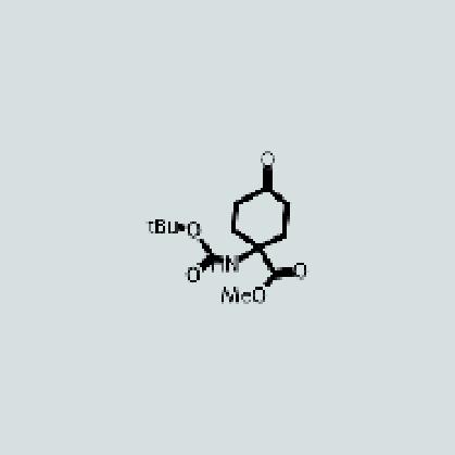 COC(=O)C1(NC(=O)OC(C)(C)C)CCC(=O)CC1